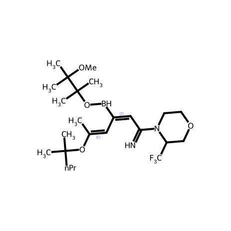 CCCC(C)(C)O/C(C)=C/C(BOC(C)(C)C(C)(C)OC)=C\C(=N)N1CCOCC1C(F)(F)F